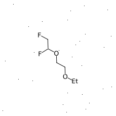 CCOCCOC(F)CF